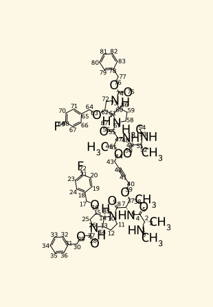 CN[C@@H](C)C(=O)N[C@H](C(=O)N1CC[C@@H]2[C@H]1[C@@H](OCc1ccc(F)cc1)CN2C(=O)OCc1ccccc1)[C@@H](C)OCC#CCO[C@H](C)[C@H](NC(=O)[C@H](C)NC)C(=O)N1CC[C@@H]2[C@H]1[C@@H](OCc1ccc(F)cc1)CN2C(=O)OCc1ccccc1